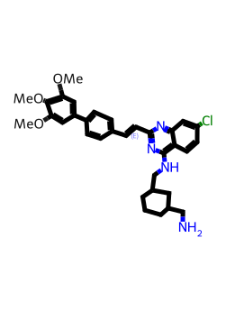 COc1cc(-c2ccc(/C=C/c3nc(NCC4CCCC(CN)C4)c4ccc(Cl)cc4n3)cc2)cc(OC)c1OC